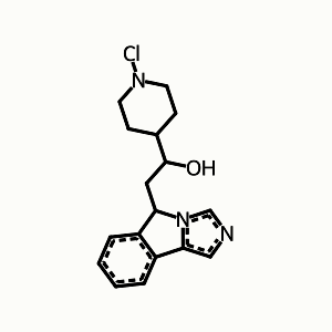 OC(CC1c2ccccc2-c2cncn21)C1CCN(Cl)CC1